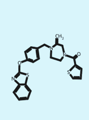 C=C1CN(C(=O)c2cccs2)CCN1Cc1ccc(Oc2nc3ccccc3s2)cc1